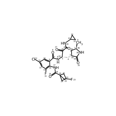 C[C@@H]1C[C@@H](C[C@H](NC(=O)c2cc(Cl)cc(F)c2NC(=O)C23CC(F)(C2)C3)C(=O)C(=O)NC2CC2)C(=O)N1